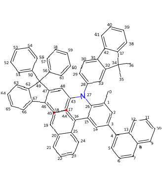 Cc1cc(-c2cccc3ccccc23)cc(-c2cccc3ccccc23)c1N(c1ccc2c(c1)C(C)(C)c1ccccc1-2)c1ccc2c(c1)C(c1ccccc1)(c1ccccc1)c1ccccc1-2